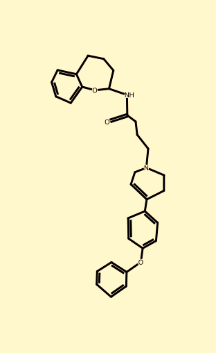 O=C(CCCN1CC=C(c2ccc(Oc3ccccc3)cc2)CC1)NC1CCCc2ccccc2O1